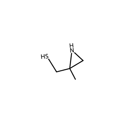 CC1(CS)CN1